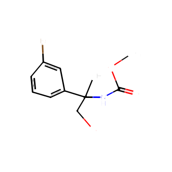 CC(C)(C)OC(=O)NC(C)(CO)c1cccc(Br)c1